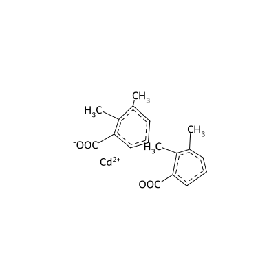 Cc1cccc(C(=O)[O-])c1C.Cc1cccc(C(=O)[O-])c1C.[Cd+2]